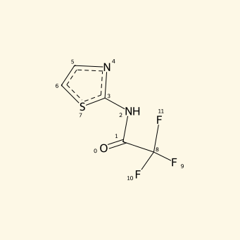 O=C(Nc1nccs1)C(F)(F)F